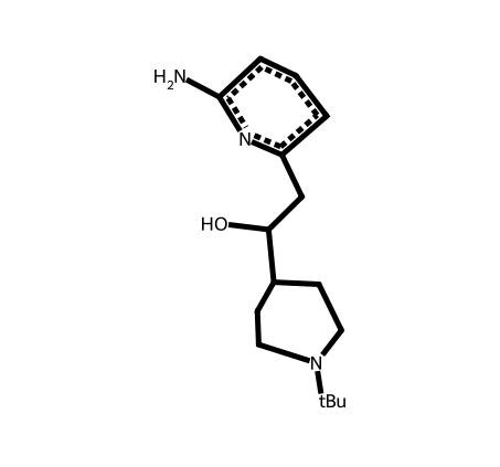 CC(C)(C)N1CCC(C(O)Cc2cccc(N)n2)CC1